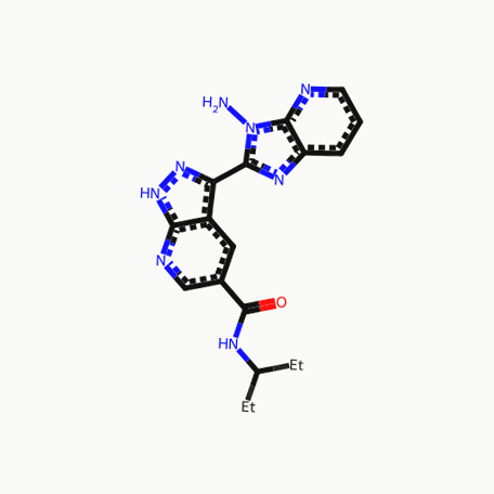 CCC(CC)NC(=O)c1cnc2[nH]nc(-c3nc4cccnc4n3N)c2c1